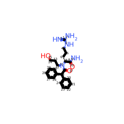 N=C(N)NCCC[C@H](C(N)=O)N(CCCO)C(=O)C(c1ccccc1)c1ccccc1